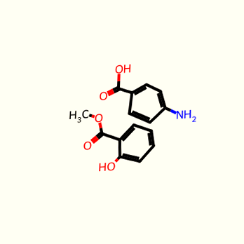 COC(=O)c1ccccc1O.Nc1ccc(C(=O)O)cc1